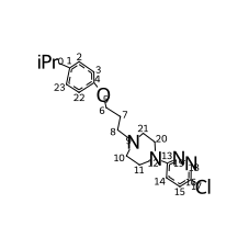 CC(C)c1ccc(OCCCN2CCN(c3ccc(Cl)nn3)CC2)cc1